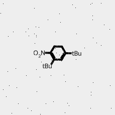 CC(C)(C)C1=CC(C(C)(C)C)=C([N+](=O)[O-])CC1